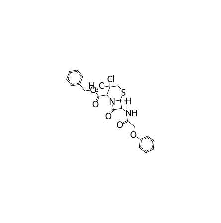 CC1(Cl)CS[C@H]2C(NC(=O)COc3ccccc3)C(=O)N2C1C(=O)OCc1ccccc1